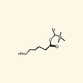 CCCCCCCCCCCCCC(=O)OC(CC)[N+](C)(C)C